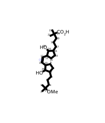 COC(C)(C)CCCC1CCC(/C=C\C2CCC(CCCC(C)(C)C(=O)O)C2O)C1O